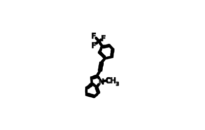 Cn1c(C#Cc2cccc(C(F)(F)F)c2)cc2ccccc21